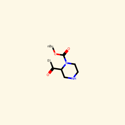 CCCCOC(=O)N1CCNCC1C(=O)CC